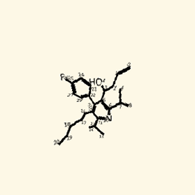 C=CCC(O)c1c(C(C)C)nc(C(C)C)c(CCCCC)c1-c1ccc(F)cc1